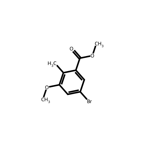 COC(=O)c1cc(Br)cc(OC)c1C